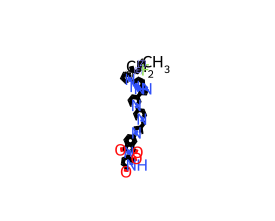 C=C(/C=C(F)\C=C/C)[C@H]1CCCN1c1ccc2ncc(C3=CCCN(C4CCN(CC5CN(c6ccc7c(c6)C(=O)N(C6CCC(=O)NC6=O)C7=O)C5)CC4)C3)n2n1